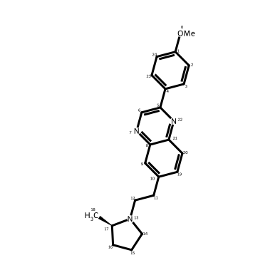 COc1ccc(-c2cnc3cc(CCN4CCC[C@H]4C)ccc3n2)cc1